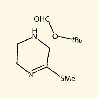 CC(C)(C)OC=O.CSC1=NCCNC1